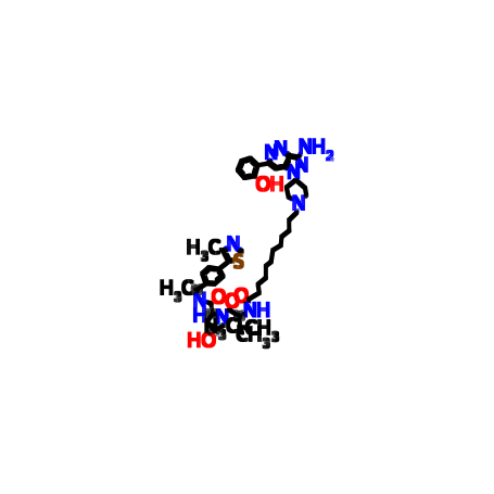 Cc1ncsc1-c1ccc([C@H](C)NC(=O)[C@@H]2C[C@@H](O)CN2C(=O)[C@@H](NC(=O)CCCCCCCCCCCN2CCC(n3nc(N)c4nnc(-c5ccccc5O)cc43)CC2)C(C)(C)C)cc1